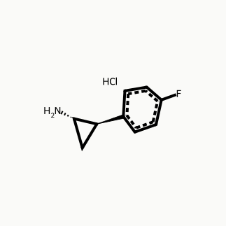 Cl.N[C@H]1C[C@@H]1c1ccc(F)cc1